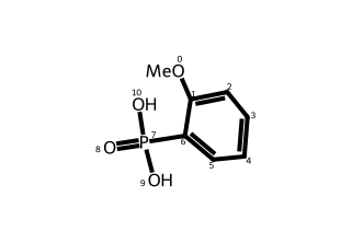 COc1ccccc1P(=O)(O)O